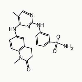 Cc1cnc(Nc2cccc(S(N)(=O)=O)c2)nc1Nc1ccc2c(c1)CCC(=O)N2C